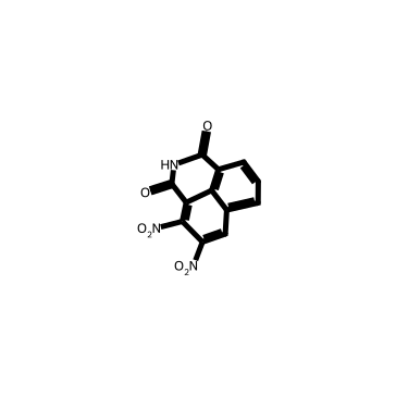 O=C1NC(=O)c2c([N+](=O)[O-])c([N+](=O)[O-])cc3cccc1c23